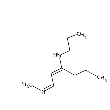 CCCN/C(=C/C=N\C)CCC